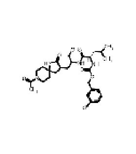 CC(=O)N1CCC2(CC1)CC(CC(CO)NC(=O)[C@H](CC(C)C)NC(=O)OCc1cccc(Cl)c1)C(=O)N2